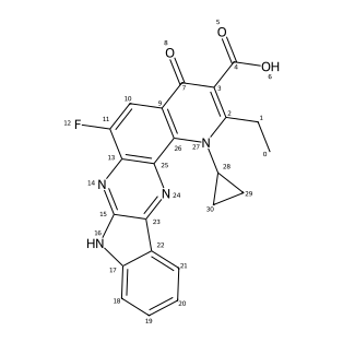 CCc1c(C(=O)O)c(=O)c2cc(F)c3nc4[nH]c5ccccc5c4nc3c2n1C1CC1